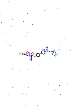 CC(C)(C)c1cc(NC(=O)Cc2ccc(-c3ccc(NCCN4CCC(F)(F)CC4)nc3)cc2)no1